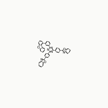 c1cc(-c2nc(-c3ccc(-c4nc5ccccc5o4)cc3)nc(-c3ccc(-c4nc5ccccc5o4)cc3)n2)cc(-c2cccc3oc4ccccc4c23)c1